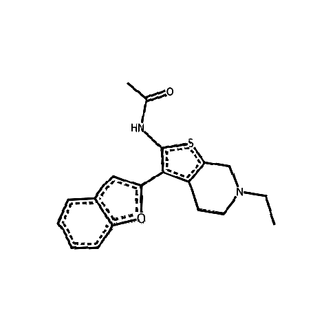 CCN1CCc2c(sc(NC(C)=O)c2-c2cc3ccccc3o2)C1